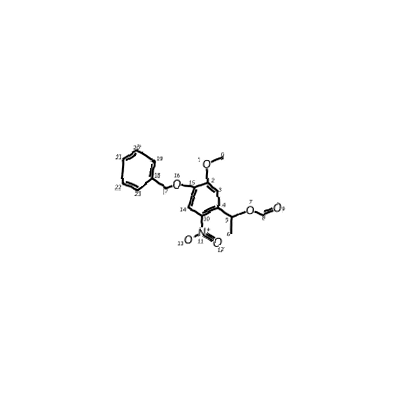 COc1cc(C(C)OC=O)c([N+](=O)[O-])cc1OCc1ccccc1